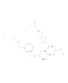 CS(=O)(=O)N1Cc2ccc(Nc3ncc4cc(C(F)F)cc(N5CC6(C5)CN(C5CC5)C6)c4n3)cc2C1